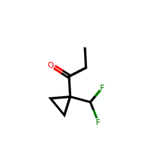 CCC(=O)C1(C(F)F)CC1